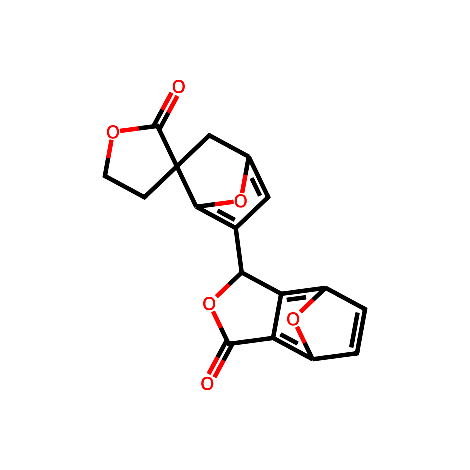 O=C1OC(c2cc3oc2C2(CCOC2=O)C3)c2c1c1ccc2o1